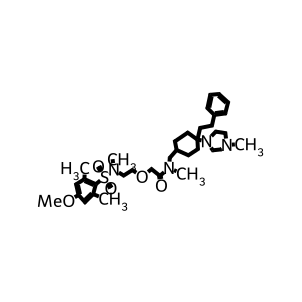 COc1cc(C)c(S(=O)(=O)N(C)CCOCC(=O)N(C)CC2CCC(CCc3ccccc3)(N3CCN(C)CC3)CC2)c(C)c1